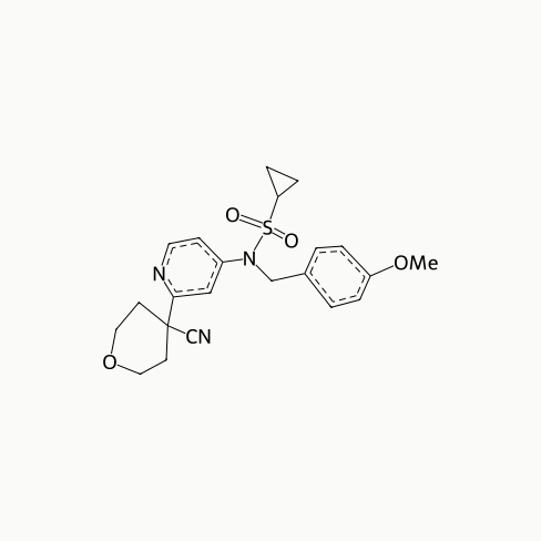 COc1ccc(CN(c2ccnc(C3(C#N)CCOCC3)c2)S(=O)(=O)C2CC2)cc1